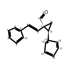 O=C[C@]1(/C=C/c2ccccc2)C[C@H]1c1ccccc1